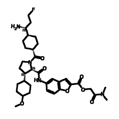 COC1CCC([C@@H]2CCN(C(=O)[C@H]3CC[C@H]([C@H](N)CCF)CC3)[C@@H]2C(=O)Nc2ccc3oc(C(=O)OCC(=O)N(C)C)cc3c2)CC1